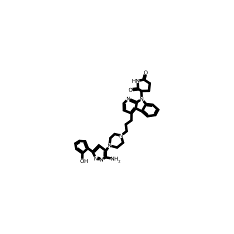 Nc1nnc(-c2ccccc2O)cc1N1CCN(CCCc2ccnc3c2c2ccccc2n3C2CCC(=O)NC2=O)CC1